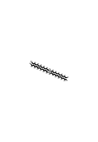 CCCCCCCCCCCCOCCCCCCCCCCCC.CCCCCCCCCCCCOCCCCCCCCCCCC